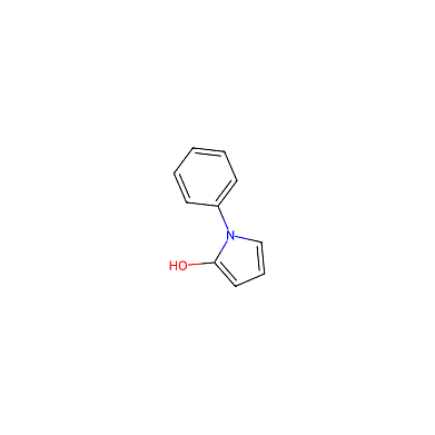 Oc1cccn1-c1ccccc1